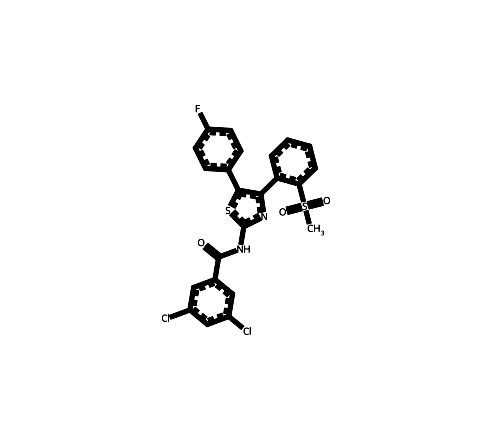 CS(=O)(=O)c1ccccc1-c1nc(NC(=O)c2cc(Cl)cc(Cl)c2)sc1-c1ccc(F)cc1